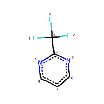 FC(F)(F)c1nc[c]cn1